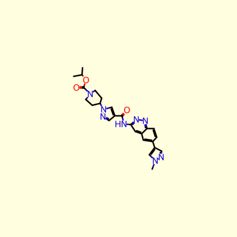 CC(C)OC(=O)N1CCC(n2cc(C(=O)Nc3cc4cc(-c5cnn(C)c5)ccc4nn3)cn2)CC1